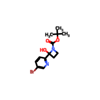 CC(C)(C)OC(=O)N1CCC1(O)c1ccc(Br)cn1